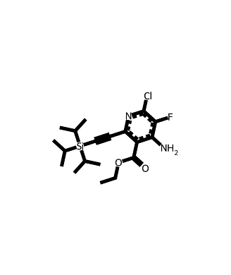 CCOC(=O)c1c(C#C[Si](C(C)C)(C(C)C)C(C)C)nc(Cl)c(F)c1N